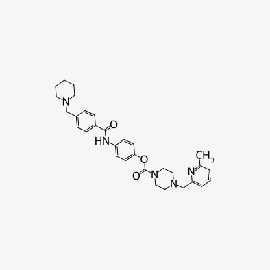 Cc1cccc(CN2CCN(C(=O)Oc3ccc(NC(=O)c4ccc(CN5CCCCC5)cc4)cc3)CC2)n1